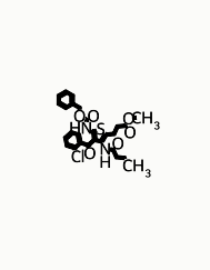 CCCC(=O)Nc1c(CCC(=O)OC)sc(NC(=O)OCc2ccccc2)c1C(=O)c1ccccc1Cl